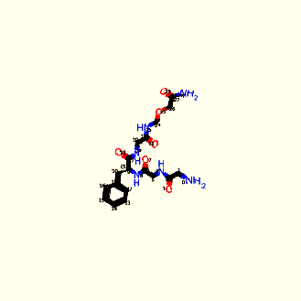 NCC(=O)NCC(=O)N[C@@H](Cc1ccccc1)C(=O)NCC(=O)NCOCC(N)=O